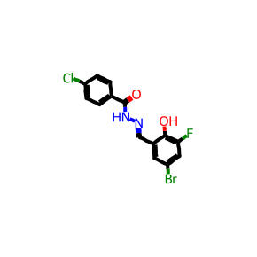 O=C(NN=Cc1cc(Br)cc(F)c1O)c1ccc(Cl)cc1